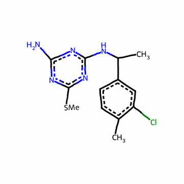 CSc1nc(N)nc(NC(C)c2ccc(C)c(Cl)c2)n1